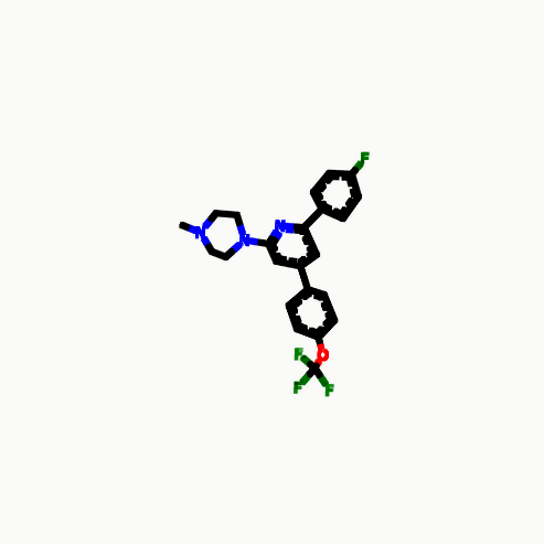 CN1CCN(c2cc(-c3ccc(OC(F)(F)F)cc3)cc(-c3ccc(F)cc3)n2)CC1